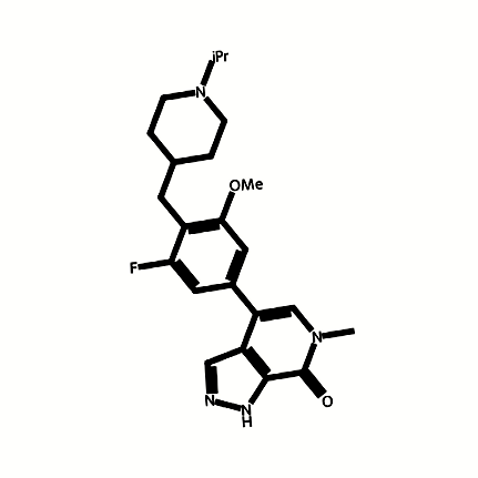 COc1cc(-c2cn(C)c(=O)c3[nH]ncc23)cc(F)c1CC1CCN(C(C)C)CC1